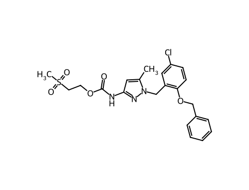 Cc1cc(NC(=O)OCCS(C)(=O)=O)nn1Cc1cc(Cl)ccc1OCc1ccccc1